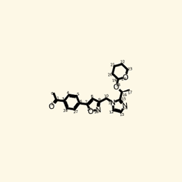 CC(=O)c1ccc(-c2cc(Cn3ccnc3[C@H](C)OC3CCCCO3)no2)cc1